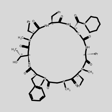 CC(C)C[C@@H]1NC(=O)[C@H](CC(C)C)N(C)C(=O)[C@H]([C@@H](C)O)NC(=O)[C@H](Cc2ccccc2)N(C)C(=O)CN(C)C(=O)[C@H](CC(C)C)N(C)C(=O)[C@@H](C(C)C)NC(=O)C[C@@H](C(=O)N2CCCCC2)NC1=O